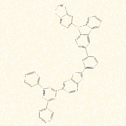 c1ccc(-c2nc(-c3ccccc3)nc(-c3ccc4nc(-c5cccc(-c6ccc7c(c6)c6ccccc6n7-c6ccc7scnc7c6)c5)sc4c3)n2)cc1